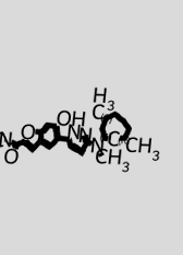 CNC(=O)c1cc2cc(-c3ccc(N(C)[C@@H]4C[C@H](C)CCC[C@H](C)C4)nn3)c(O)cc2o1